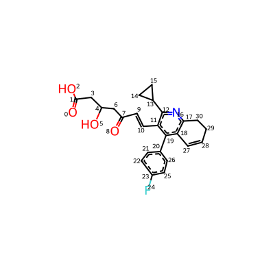 O=C(O)CC(O)CC(=O)/C=C/c1c(C2CC2)nc2c(c1-c1ccc(F)cc1)C=CCC2